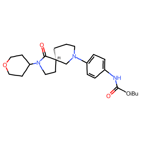 CC(C)COC(=O)Nc1ccc(N2CCC[C@@]3(CCN(C4CCOCC4)C3=O)C2)cc1